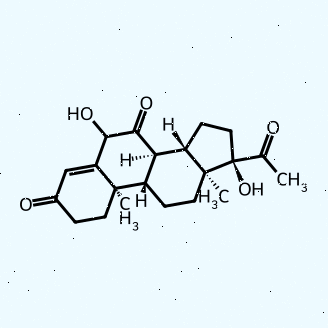 CC(=O)[C@@]1(O)CC[C@H]2[C@@H]3C(=O)C(O)C4=CC(=O)CC[C@]4(C)[C@H]3CC[C@@]21C